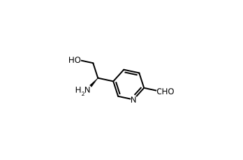 N[C@@H](CO)c1ccc(C=O)nc1